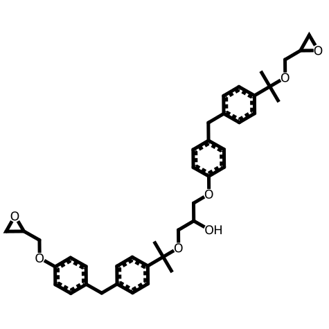 CC(C)(OCC(O)COc1ccc(Cc2ccc(C(C)(C)OCC3CO3)cc2)cc1)c1ccc(Cc2ccc(OCC3CO3)cc2)cc1